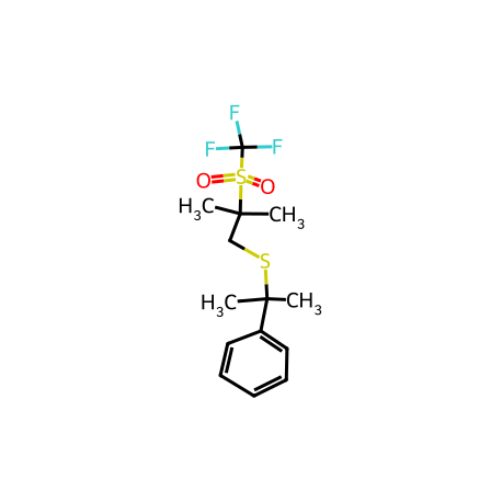 CC(C)(SCC(C)(C)S(=O)(=O)C(F)(F)F)c1ccccc1